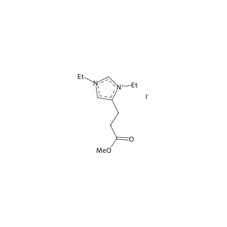 CCn1cc(CCC(=O)OC)[n+](CC)c1.[I-]